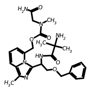 Cc1nc(C(COCc2ccccc2)NC(=O)C(C)(C)N)n2c(COC(=O)N(C)CC(N)=O)cccc12